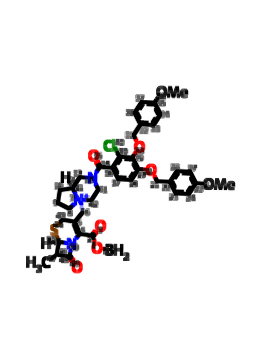 BOC(=O)C1=C(C[N@+]23CCC[C@H]2CN(C(=O)c2ccc(OCc4ccc(OC)cc4)c(OCc4ccc(OC)cc4)c2Cl)CC3)CS[C@@H]2[C@H](C)C(=O)N12